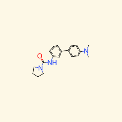 CN(C)c1ccc(-c2cccc(NC(=O)N3CCCC3)c2)cc1